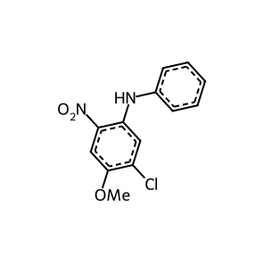 COc1cc([N+](=O)[O-])c(Nc2ccccc2)cc1Cl